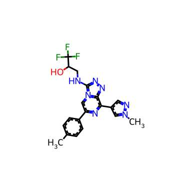 Cc1ccc(-c2cn3c(NCC(O)C(F)(F)F)nnc3c(-c3cnn(C)c3)n2)cc1